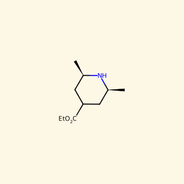 CCOC(=O)C1C[C@@H](C)N[C@@H](C)C1